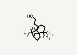 CC1(C)C2=C(CCO)CCC(C)(C)C23CCC1C3